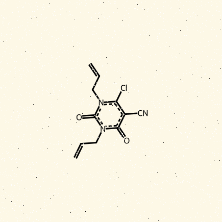 C=CCn1c(Cl)c(C#N)c(=O)n(CC=C)c1=O